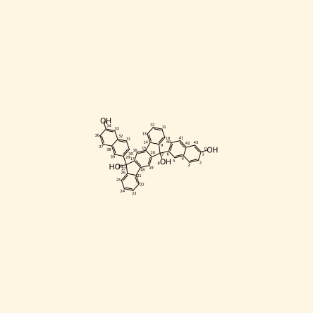 Oc1ccc2cc(C3(O)c4ccccc4-c4cc5c(cc43)-c3ccccc3C5(O)c3ccc4cc(O)ccc4c3)ccc2c1